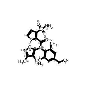 Cc1cc(CC#N)cc(C)c1N(C(=O)c1sccc1S(N)(=O)=O)c1onc(C)c1Cl